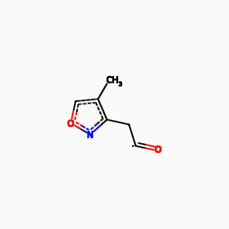 Cc1conc1C[C]=O